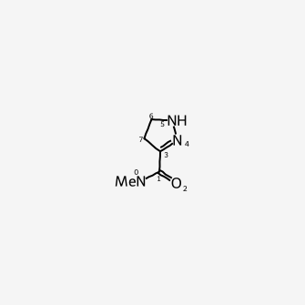 CNC(=O)C1=NNCC1